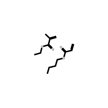 C=C(C)C(=O)OCC.C=CC(=O)OCCCC